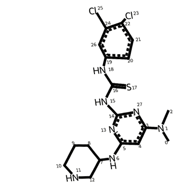 CN(C)c1cc(NC2CCCNC2)nc(NC(=S)Nc2ccc(Cl)c(Cl)c2)n1